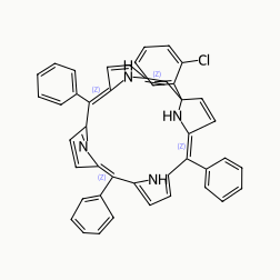 Clc1ccccc1C12C=C/C(=C(\c3ccccc3)c3ccc([nH]3)/C(c3ccccc3)=C3/C=CC(=N3)/C(c3ccccc3)=c3/cc/c([nH]3)=C/1)N2